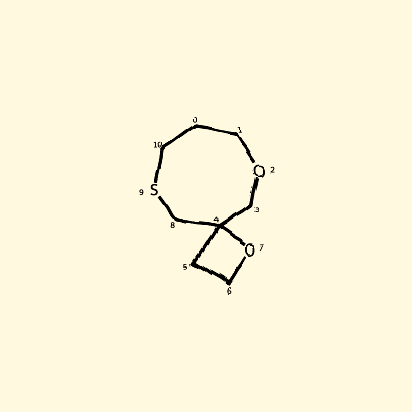 C1COCC2(CCO2)CSC1